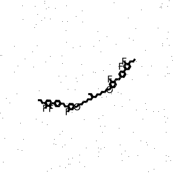 CC=C(CCCCCCOc1ccc(CCc2ccc(-c3ccc(CCC)c(F)c3F)cc2)c(F)c1)CCCCCCOc1ccc(CCc2ccc(-c3ccc(CCC)c(F)c3F)cc2)c(F)c1